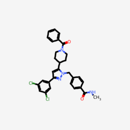 CNC(=O)c1ccc(Cn2nc(-c3cc(Cl)cc(Cl)c3)cc2C2CCN(C(=O)c3ccccc3)CC2)cc1